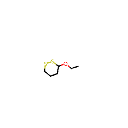 CCOC1CCCSS1